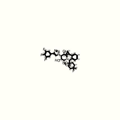 OC[C@@H]1[C@H](O)[C@@H](n2cc(-c3cc(F)c(F)c(F)c3)nn2)[C@@H](O)C[SH]1[C@H](c1ccccc1C1CC1)C1(O)CCC(F)(F)CC1